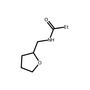 CCC(=O)NCC1CCCO1